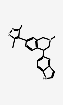 Cc1noc(C)c1-c1ccc2c(c1)CN(C)CC2c1ccc2[nH]ccc2c1